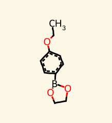 CCOc1ccc(B2OCCO2)cc1